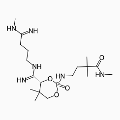 CNC(=N)CCCNC(=N)[C@@H]1OP(=O)(NCCC(C)(C)C(=O)NC)OCC1(C)C